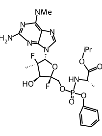 CNc1nc(N)nc2c1ncn2[C@@H]1O[C@](F)(COP(=O)(N[C@@H](C)C(=O)OC(C)C)Oc2ccccc2)[C@@H](O)[C@@]1(C)F